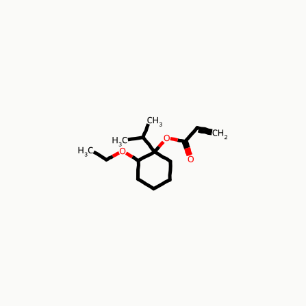 C=CC(=O)OC1(C(C)C)CCCCC1OCC